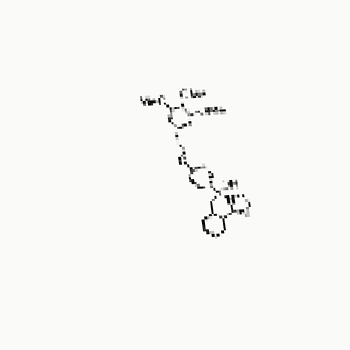 COc1cc(CCOc2ccc(C3(O)Cc4ccccc4C4=NCCN43)cc2)cc(OC)c1OC